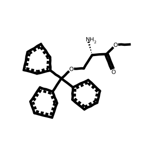 COC(=O)[C@@H](N)COC(c1ccccc1)(c1ccccc1)c1ccccc1